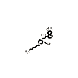 CCCCCCCN1CC[C@@H](CC[C@@H](O)c2ccnc3ccc(OC)cc23)[C@@H](CCO)C1